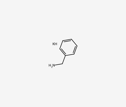 NCc1ccccc1.[KH]